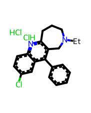 CCN1CCCc2nc3ccc(Cl)cc3c(-c3ccccc3)c2C1.Cl.Cl